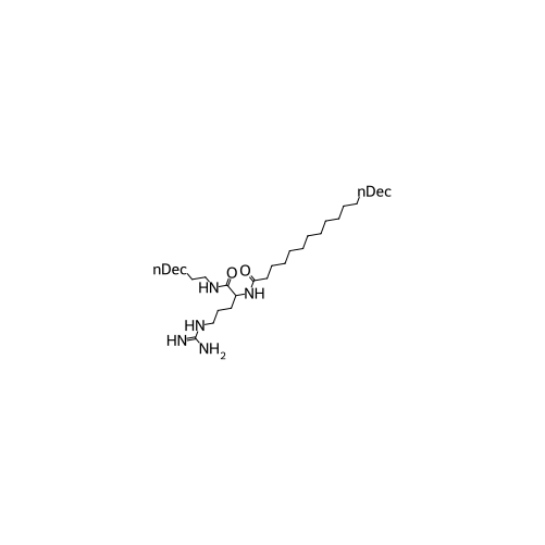 CCCCCCCCCCCCCCCCCCCCCC(=O)NC(CCCNC(=N)N)C(=O)NCCCCCCCCCCCC